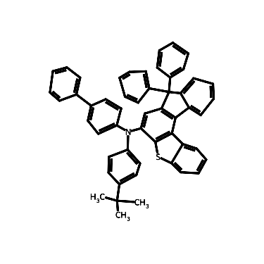 CC(C)(C)c1ccc(N(c2ccc(-c3ccccc3)cc2)c2cc3c(c4c2sc2ccccc24)-c2ccccc2C3(c2ccccc2)c2ccccc2)cc1